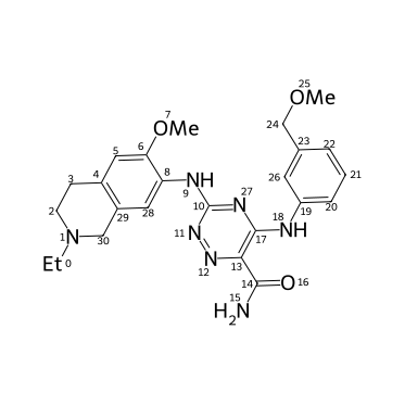 CCN1CCc2cc(OC)c(Nc3nnc(C(N)=O)c(Nc4cccc(COC)c4)n3)cc2C1